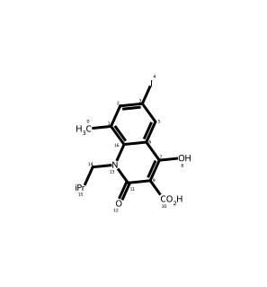 Cc1cc(I)cc2c(O)c(C(=O)O)c(=O)n(CC(C)C)c12